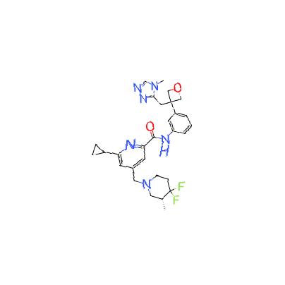 C[C@@H]1CN(Cc2cc(C(=O)Nc3cccc(C4(Cc5nncn5C)COC4)c3)nc(C3CC3)c2)CCC1(F)F